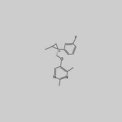 Cc1ncc(OC[C@@]2(c3cccc(F)c3)CC2C)c(C)n1